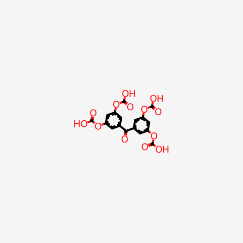 O=C(O)Oc1cc(OC(=O)O)cc(C(=O)c2cc(OC(=O)O)cc(OC(=O)O)c2)c1